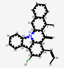 C=c1c2c(C)c3ccccc3cc2n2c3ccccc3c3c(F)cc(/C=C\C)c1c32